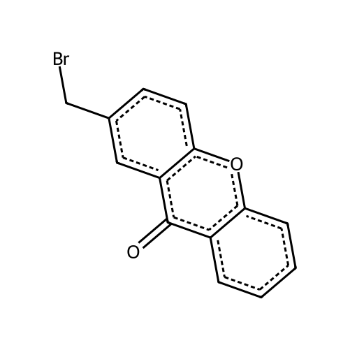 O=c1c2ccccc2oc2ccc(CBr)cc12